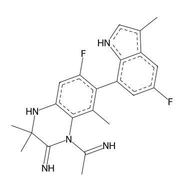 CC(=N)N1C(=N)C(C)(C)Nc2cc(F)c(-c3cc(F)cc4c(C)c[nH]c34)c(C)c21